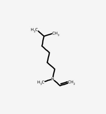 C=CN(C)CCCCC(C)C